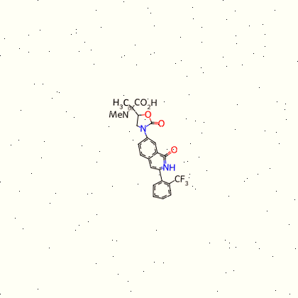 CN[C@](C)(C(=O)O)C1CN(c2ccc3cc(-c4ccccc4C(F)(F)F)[nH]c(=O)c3c2)C(=O)O1